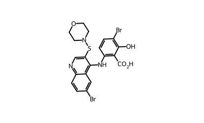 O=C(O)c1c(Nc2c(SN3CCOCC3)cnc3ccc(Br)cc23)ccc(Br)c1O